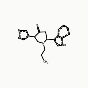 CCCN1CC(n2cnnc2)C(=O)CC1c1c[nH]c2ccccc12